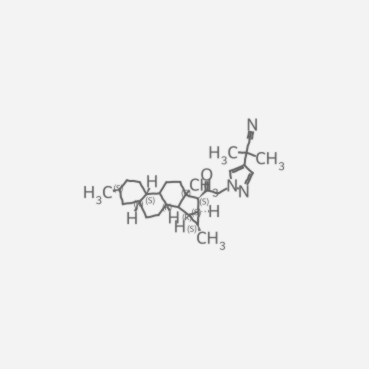 C[C@H]1CC[C@@H]2C3CC[C@@]4(C)C([C@@H]3CC[C@@H]2C1)[C@@H]1[C@H](C)[C@@H]1[C@@H]4C(=O)Cn1cc(C(C)(C)C#N)cn1